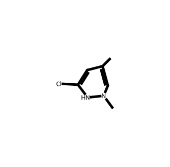 CC1=CN(C)NC(Cl)=C1